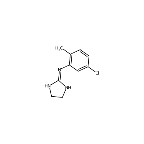 Cc1ccc(Cl)cc1N=C1NCCN1